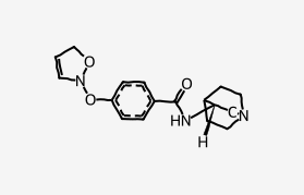 O=C(N[C@H]1CN2CCC1CC2)c1ccc(ON2C=CCO2)cc1